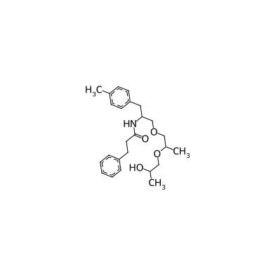 Cc1ccc(CC(COCC(C)OCC(C)O)NC(=O)CCc2ccccc2)cc1